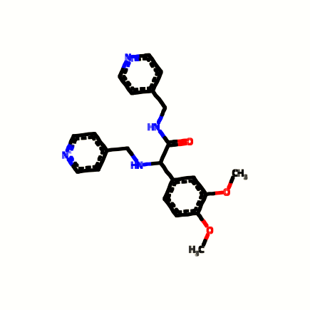 COc1ccc(C(NCc2ccncc2)C(=O)NCc2ccncc2)cc1OC